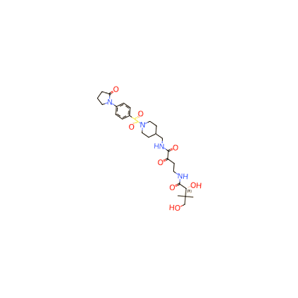 CC(C)(CO)[C@@H](O)C(=O)NCCC(=O)C(=O)NCC1CCN(S(=O)(=O)c2ccc(N3CCCC3=O)cc2)CC1